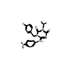 CC(C)n1c(=O)nc(Nc2ccc(N(C)C)cc2)n(Cc2ccc(F)cc2)c1=O